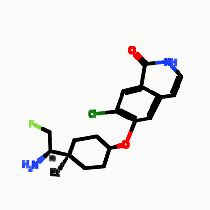 CC[C@]1([C@@H](N)CF)CC[C@@H](Oc2cc3cc[nH]c(=O)c3cc2Cl)CC1